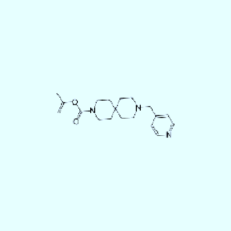 C=C(C)OC(=O)N1CCC2(CCN(Cc3ccncc3)CC2)CC1